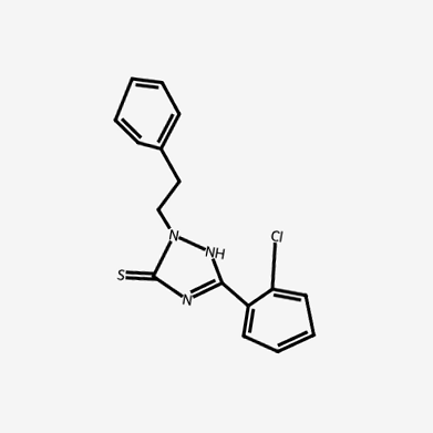 S=c1nc(-c2ccccc2Cl)[nH]n1CCc1ccccc1